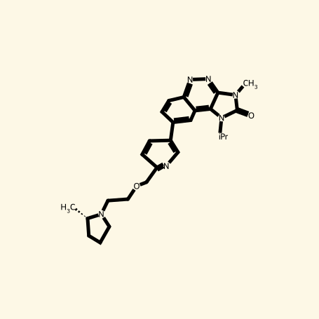 CC(C)n1c(=O)n(C)c2nnc3ccc(-c4ccc(COCCN5CCC[C@@H]5C)nc4)cc3c21